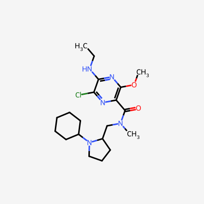 CCNc1nc(OC)c(C(=O)N(C)CC2CCCN2C2CCCCC2)nc1Cl